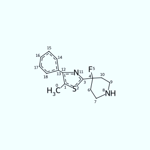 Cc1sc(C2(F)CCNCC2)nc1-c1ccccc1